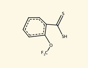 FC(F)(F)Oc1ccccc1C(=S)S